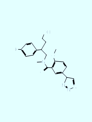 COc1ccc(C2C=NN=N2)cc1C(=O)N(C)CC(CCO)c1ccc(F)cc1